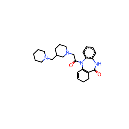 O=C1Nc2ccccc2N(C(=O)CN2CCCC(CN3CCCCC3)C2)C2=C1CCC=C2